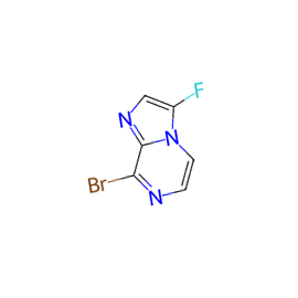 Fc1cnc2c(Br)nccn12